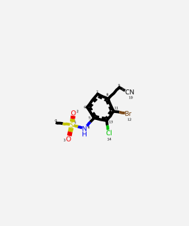 CS(=O)(=O)Nc1ccc(CC#N)c(Br)c1Cl